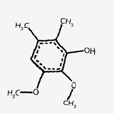 COc1cc(C)c(C)c(O)c1OC